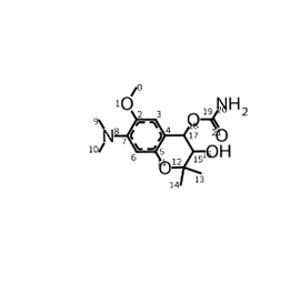 COc1cc2c(cc1N(C)C)OC(C)(C)C(O)C2OC(N)=O